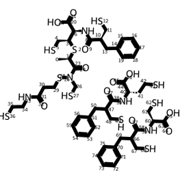 C[C@@H](S[C@@H](CS)[C@H](NC(=O)[C@@H](CS)Cc1ccccc1)C(=O)O)C(=O)N(CS)SCCC(=O)NCCS.O=C(N[C@@H](CCS)C(=O)O)C(CS)Cc1ccccc1.O=C(N[C@@H](CS)C(=O)O)C(CS)Cc1ccccc1